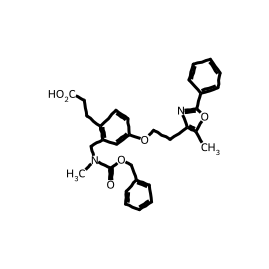 Cc1oc(-c2ccccc2)nc1CCOc1ccc(CCC(=O)O)c(CN(C)C(=O)OCc2ccccc2)c1